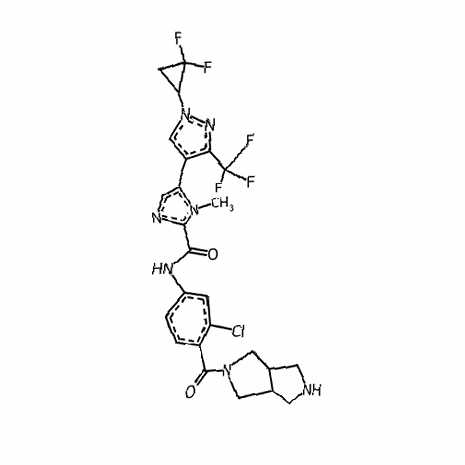 Cn1c(-c2cn(C3CC3(F)F)nc2C(F)(F)F)cnc1C(=O)Nc1ccc(C(=O)N2CC3CNCC3C2)c(Cl)c1